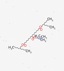 CCCCCC(CCCCC)CCOC(=O)CCCCCCCC(CCCCCCCC(=O)OCCC(CCCCC)CCCCC)C(=O)OCCCN(C)C(C)C